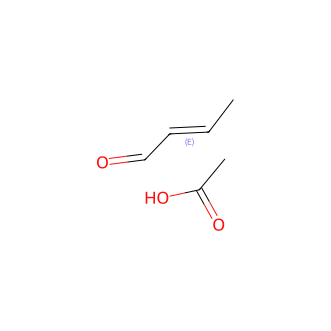 C/C=C/C=O.CC(=O)O